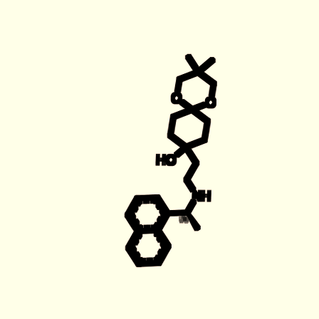 C[C@H](NCCC1(O)CCC2(CC1)OCC(C)(C)CO2)c1cccc2ccccc12